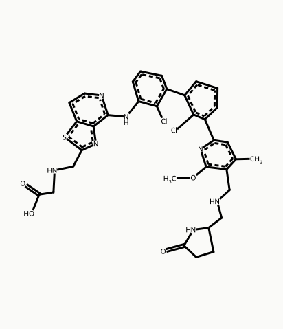 COc1nc(-c2cccc(-c3cccc(Nc4nccc5sc(CNCC(=O)O)nc45)c3Cl)c2Cl)cc(C)c1CNCC1CCC(=O)N1